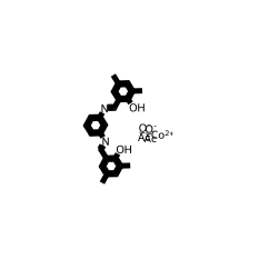 CC(=O)[O-].CC(=O)[O-].Cc1cc(C)c(O)c(C=Nc2cccc(N=Cc3cc(C)cc(C)c3O)c2)c1.[Co+2]